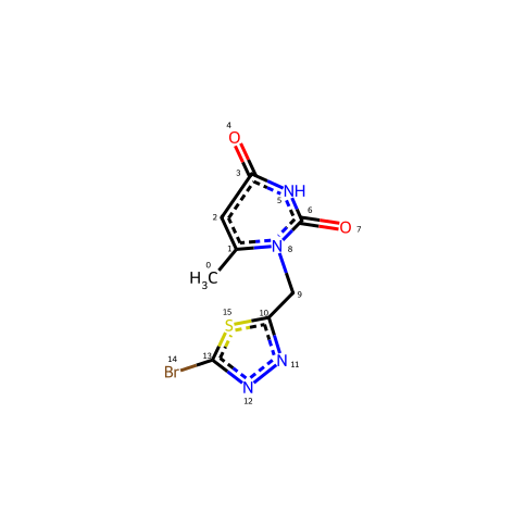 Cc1cc(=O)[nH]c(=O)n1Cc1nnc(Br)s1